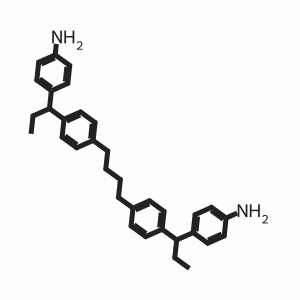 CCC(c1ccc(N)cc1)c1ccc(CCCCc2ccc(C(CC)c3ccc(N)cc3)cc2)cc1